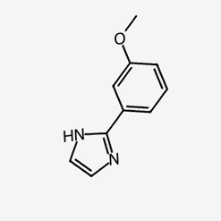 COc1cccc(-c2ncc[nH]2)c1